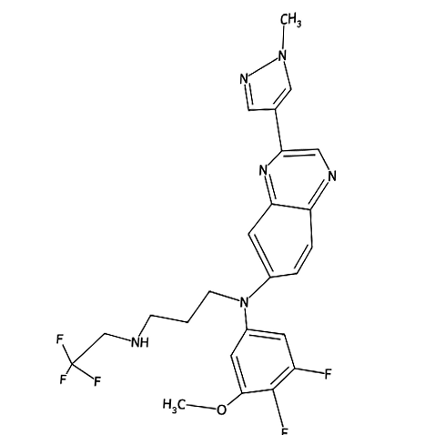 COc1cc(N(CCCNCC(F)(F)F)c2ccc3ncc(-c4cnn(C)c4)nc3c2)cc(F)c1F